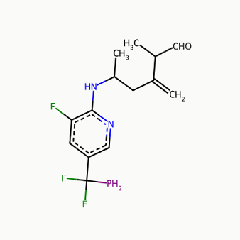 C=C(CC(C)Nc1ncc(C(F)(F)P)cc1F)C(C)C=O